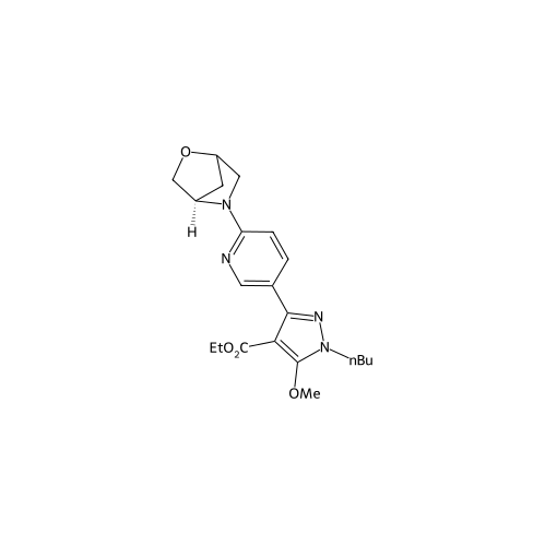 CCCCn1nc(-c2ccc(N3CC4C[C@@H]3CO4)nc2)c(C(=O)OCC)c1OC